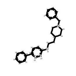 c1ccc(CN2CCC(CCOc3ccc(-c4ccccc4)nn3)CC2)cc1